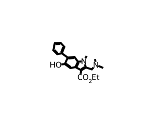 CCOC(=O)c1c(CN(C)C)n(C)c2cc(-c3ccccc3)c(O)cc12